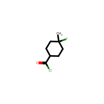 CC1(F)CCC(C(=O)Cl)CC1